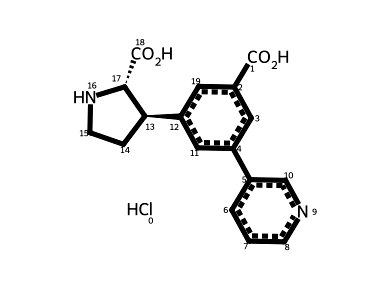 Cl.O=C(O)c1cc(-c2cccnc2)cc([C@H]2CCN[C@@H]2C(=O)O)c1